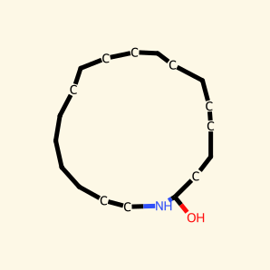 OC1CCCCCCCCCCCCCCCCCN1